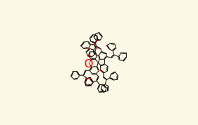 C(=C(c1ccccc1)c1ccccc1)c1ccc2c(c1)C1(c3cc(C=C(c4ccccc4)c4ccccc4)ccc3-c3c(C=C(c4ccccc4)c4ccccc4)cc(C=C(c4ccccc4)c4ccccc4)cc31)c1cc(C=C(c3ccccc3)c3ccccc3)cc(C=C(c3ccccc3)c3ccccc3)c1O2